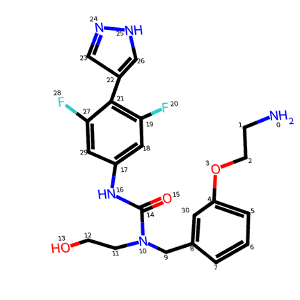 NCCOc1cccc(CN(CCO)C(=O)Nc2cc(F)c(-c3cn[nH]c3)c(F)c2)c1